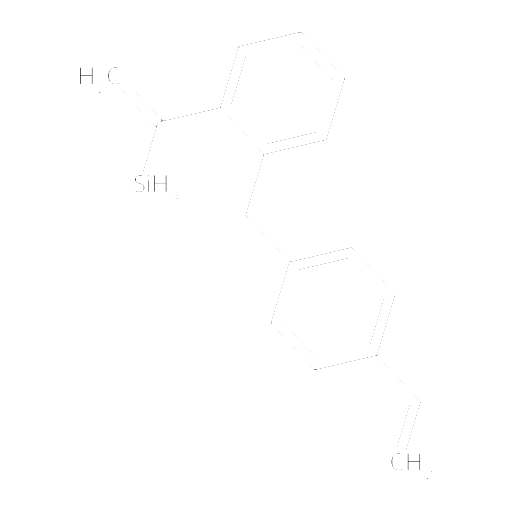 C=Cc1ccc(Cc2ccccc2C(=C)[SiH3])cc1